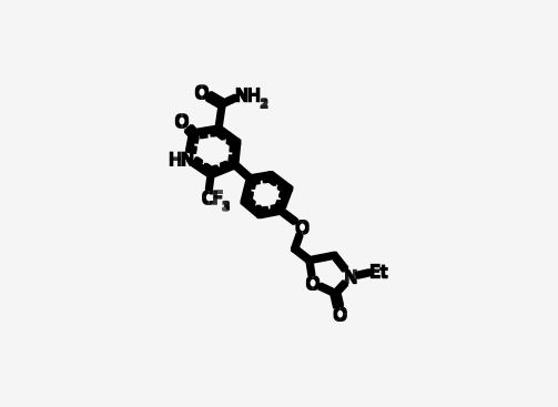 CCN1CC(COc2ccc(-c3cc(C(N)=O)c(=O)[nH]c3C(F)(F)F)cc2)OC1=O